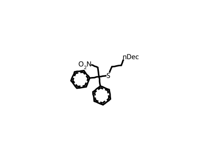 CCCCCCCCCCCCSC(C[N+](=O)[O-])(c1ccccc1)c1ccccc1